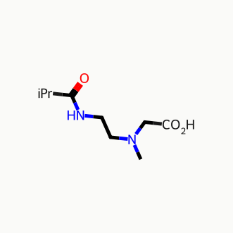 CC(C)C(=O)NCCN(C)CC(=O)O